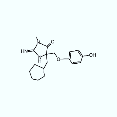 CN1C(=N)NC(COc2ccc(O)cc2)(CC2CCCCC2)C1=O